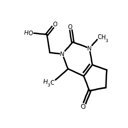 CC1C2=C(CCC2=O)N(C)C(=O)N1CC(=O)O